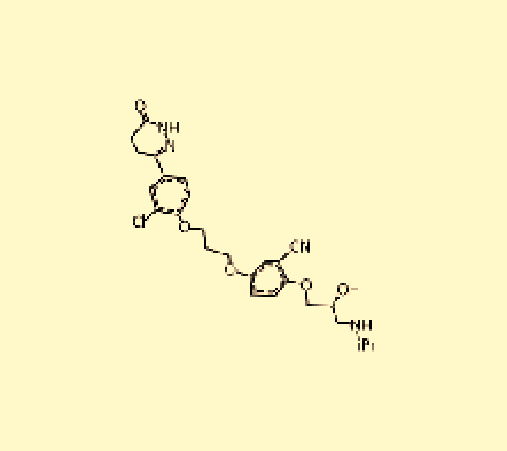 CC(C)NC[C@H](O)COc1ccc(OCCCOc2ccc(C3=NNC(=O)CC3)cc2Cl)cc1C#N